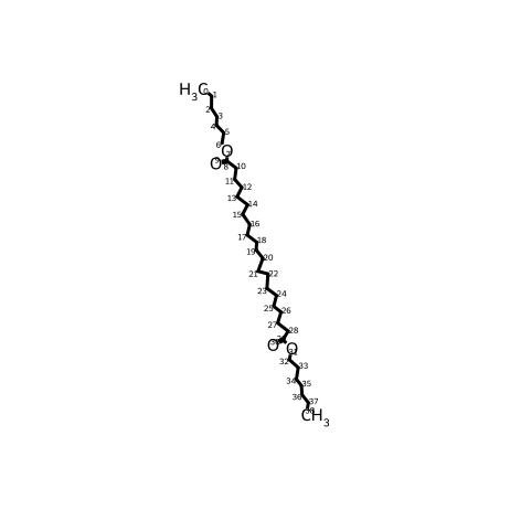 CCCCCCCOC(=O)CCCCCCCCCCCCCCCCCCCC(=O)OCCCCCCC